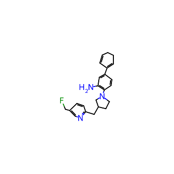 Nc1cc(C2=CCCC=C2)ccc1N1CCC(Cc2ccc(CF)cn2)C1